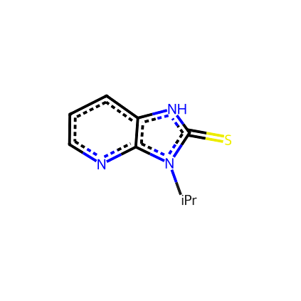 CC(C)n1c(=S)[nH]c2cccnc21